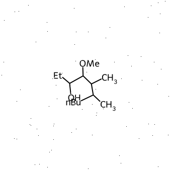 CCCCC(C)C(C)C(OC)C(O)CC